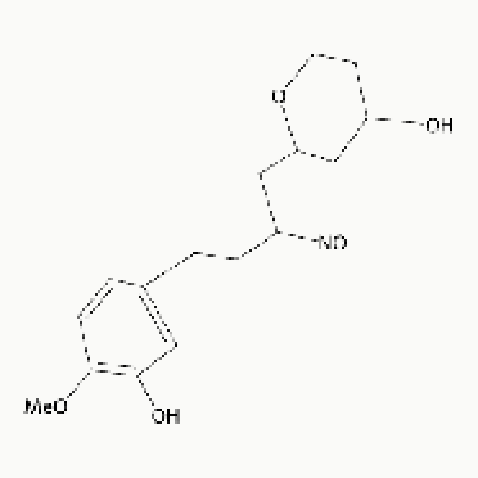 COc1ccc(CCC(CC2CC(O)CCO2)N=O)cc1O